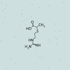 CC(SCCNC(=N)N)C(=O)O